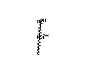 CC(O)S.CCCCCCCCCCCCCCCCCCCCCC(=O)O